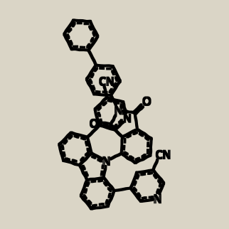 N#Cc1cncc(-c2cccc3c4cccc(-c5cncc(C#N)c5)c4n(-c4cccc5c4C(=O)N(c4ccc(-c6ccccc6)cc4)C5=O)c23)c1